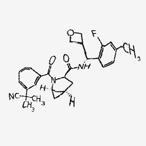 Cc1ccc([C@H](NC(=O)[C@H]2C[C@H]3C[C@H]3N2C(=O)c2cccc(C(C)(C)C#N)c2)C2COC2)c(F)c1